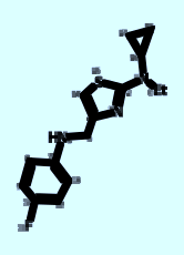 CCN(c1nc(CNc2ccc(F)cc2)cs1)C1CC1